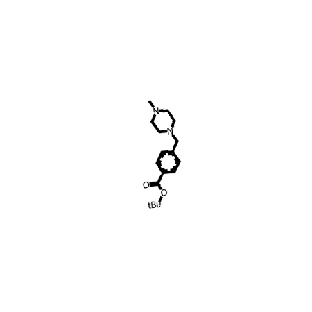 CN1CCN(Cc2ccc(C(=O)OC(C)(C)C)cc2)CC1